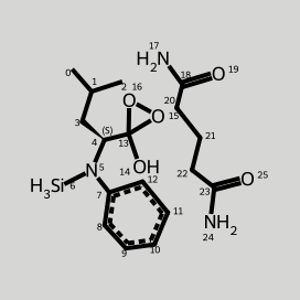 CC(C)C[C@H](N([SiH3])c1ccccc1)C1(O)OO1.NC(=O)CCCC(N)=O